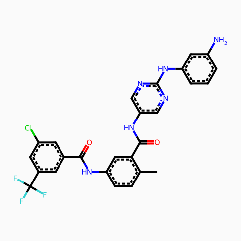 Cc1ccc(NC(=O)c2cc(Cl)cc(C(F)(F)F)c2)cc1C(=O)Nc1cnc(Nc2cccc(N)c2)nc1